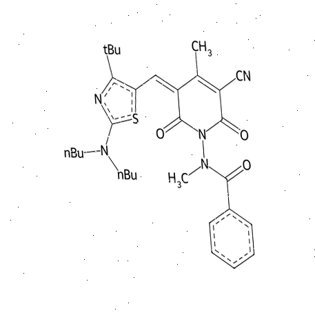 CCCCN(CCCC)c1nc(C(C)(C)C)c(/C=C2\C(=O)N(N(C)C(=O)c3ccccc3)C(=O)C(C#N)=C2C)s1